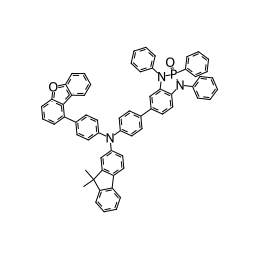 CC1(C)c2ccccc2-c2ccc(N(c3ccc(-c4ccc5c(c4)N(c4ccccc4)P(=O)(c4ccccc4)N5c4ccccc4)cc3)c3ccc(-c4cccc5oc6ccccc6c45)cc3)cc21